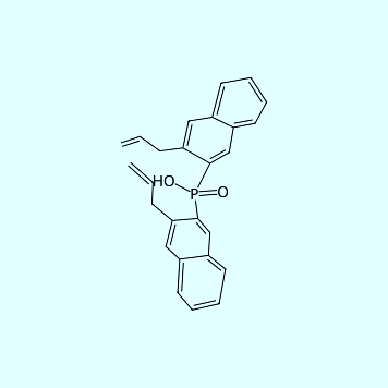 C=CCc1cc2ccccc2cc1P(=O)(O)c1cc2ccccc2cc1CC=C